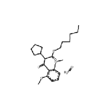 CCCCCCOC(=O)C(C(=O)c1c(OC)cccc1OC)C1CCCC1.O=[PH3]